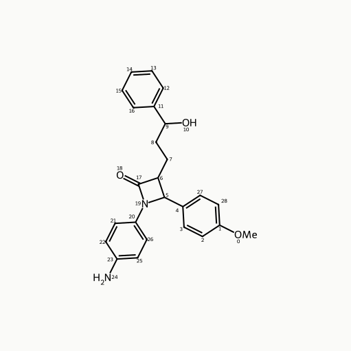 COc1ccc(C2C(CCC(O)c3ccccc3)C(=O)N2c2ccc(N)cc2)cc1